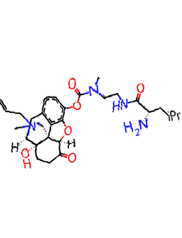 C=CC[N+]1(C)CC[C@]23c4c5ccc(OC(=O)N(C)CCNC(=O)[C@@H](N)CC(C)C)c4O[C@H]2C(=O)CC[C@@]3(O)[C@H]1C5